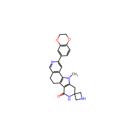 Cn1c2c(c3c1-c1cc(-c4ccc5c(c4)OCCO5)ncc1CC3)C(=O)NC1(CNC1)C2